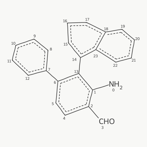 Nc1c(C=O)ccc(-c2ccccc2)c1-c1cccc2ccccc12